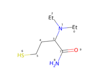 CCN(CC)C(CCS)C(N)=O